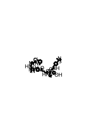 Cc1nc(Nc2ncc(C(=O)Nc3c(C)cccc3Cl)s2)cc(N2CCN(C(=O)CCCC(=O)NC(C(=O)N3C[C@H](O)C[C@H]3C(=O)NCc3ccc(-c4scnc4C)cc3)C(C)(C)C)CC2)n1